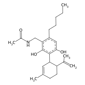 C=C(C)C1CCC(C)=CC1c1c(O)cc(CCCCC)c(CNC(C)=O)c1O